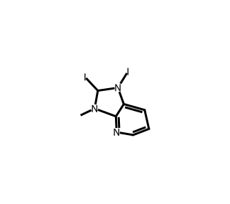 CN1c2ncccc2N(I)C1I